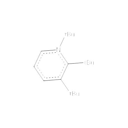 CC(C)(C)c1ccc[n+](C(C)(C)C)c1C(C)(C)C